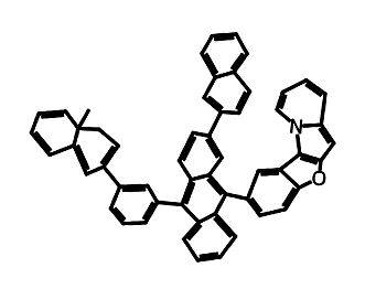 CC12C=CC=CC1=CC(c1cccc(-c3c4ccccc4c(-c4ccc5oc6cc7ccccn7c6c5c4)c4cc(-c5ccc6ccccc6c5)ccc34)c1)=CC2